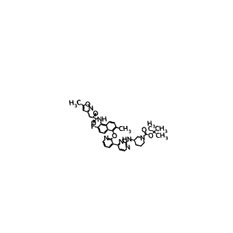 Cc1cc(CS(=O)(=O)Nc2c(F)ccc3c(Oc4ncccc4-c4ccnc(NC5CCCN(C(=O)OC(C)(C)C)C5)n4)c(C)ccc23)no1